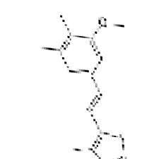 COc1cc(/C=C/c2sccc2C)cc(C)c1C